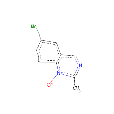 Cc1ncc2cc(Br)ccc2[n+]1[O-]